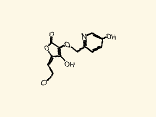 O=C1O/C(=C/CCl)C(O)=C1OCc1ccc(O)cn1